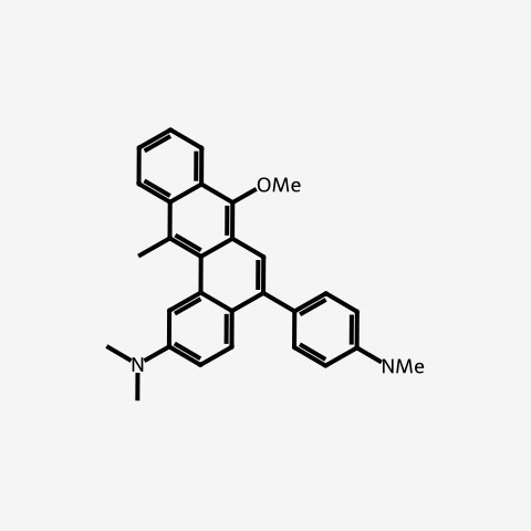 CNc1ccc(-c2cc3c(OC)c4ccccc4c(C)c3c3cc(N(C)C)ccc23)cc1